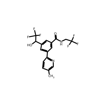 Cc1ccc(-c2cc(C(=O)NCC(F)(F)F)cc(C(O)C(F)(F)F)c2)nc1